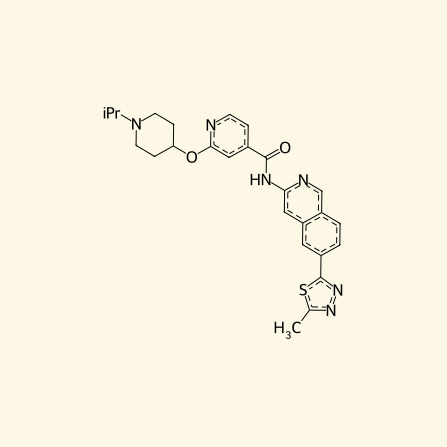 Cc1nnc(-c2ccc3cnc(NC(=O)c4ccnc(OC5CCN(C(C)C)CC5)c4)cc3c2)s1